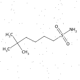 CC(C)(C)CCCCS(N)(=O)=O